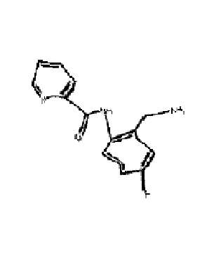 NCc1cc(F)ccc1NC(=O)c1ccccn1